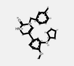 COc1ccc(C2=CN(Cc3cccc(C)c3)C(=O)NC2)cc1OC1CCCC1